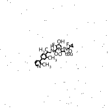 Cc1cc(-c2c#ccnc2C)ccc1C(C)CNC(=O)C1[C@@H](F)[C@@H](O)CN1C(=O)C(NC(=O)C1(F)CC1)C(C)(C)C